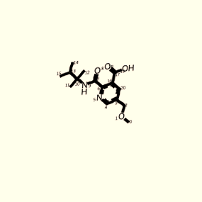 COCc1cnc(C(=O)NC(C)(C)C(C)C)c(C(=O)O)c1